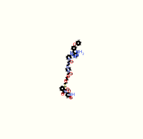 Nc1ncnc2c1c(-c1ccc(Oc3ccccc3)cc1)nn2[C@@H]1CCCN(C(=O)/C=C/CN2CCN(C(=O)COCCOCCSc3cccc4c3C(=O)N(C3CCC(=O)NC3=O)C4=O)CC2)C1